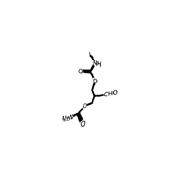 CNC(=O)OCC(C=O)COC(=O)NI